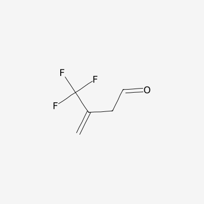 C=C(CC=O)C(F)(F)F